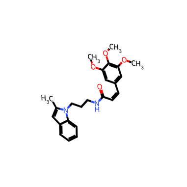 COc1cc(/C=C\C(=O)NCCCn2c(C)cc3ccccc32)cc(OC)c1OC